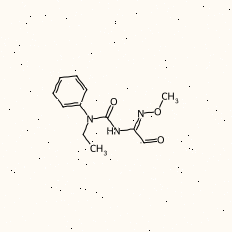 CCN(C(=O)NC([C]=O)=NOC)c1ccccc1